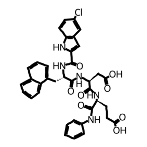 O=C(O)CC[C@H](NC(=O)[C@H](CC(=O)O)NC(=O)[C@H](Cc1cccc2ccccc12)NC(=O)c1cc2cc(Cl)ccc2[nH]1)C(=O)Nc1ccccc1